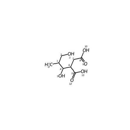 CC(CO)C(O)C(CC(=O)O)C(=O)O